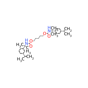 C=C(C)c1ccc(C(C)(C)NC(=O)OCCCCCOC(=O)NC(C)(C)c2cccc(C(=C)C)c2)cc1